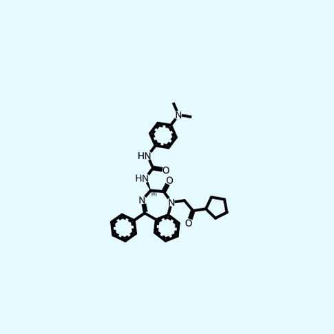 CN(C)c1ccc(NC(=O)N[C@@H]2N=C(c3ccccc3)c3ccccc3N(CC(=O)C3CCCC3)C2=O)cc1